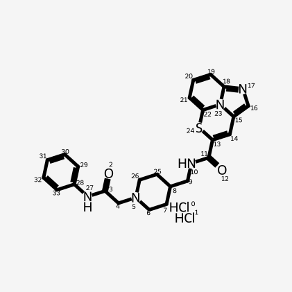 Cl.Cl.O=C(CN1CCC(CNC(=O)C2=Cc3cnc4cccc(n34)S2)CC1)Nc1ccccc1